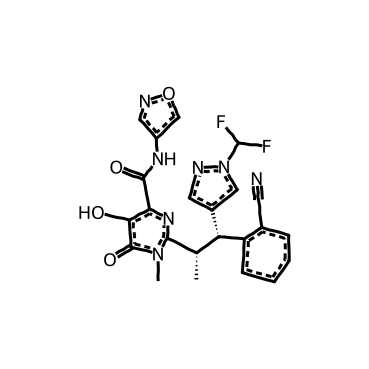 C[C@H](c1nc(C(=O)Nc2cnoc2)c(O)c(=O)n1C)[C@H](c1cnn(C(F)F)c1)c1ccccc1C#N